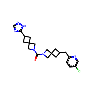 O=C(N1CC2(CC(Cc3ccc(Cl)cn3)C2)C1)N1CC2(CC(c3ncn[nH]3)C2)C1